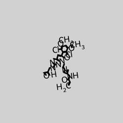 C=CC(=O)NC1CN(CCn2c(=O)c(-c3c(Cl)c(OC)cc(OC)c3Cl)cc3cnc(NCC4COC4)nc32)C1